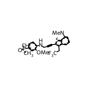 CNc1cccc2c(CC(F)(F)F)c(C#CCNc3ccc(P(C)(C)=O)cc3OC)sc12